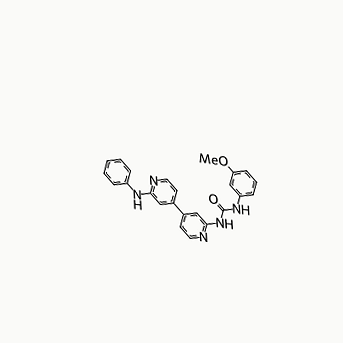 COc1cccc(NC(=O)Nc2cc(-c3ccnc(Nc4ccccc4)c3)ccn2)c1